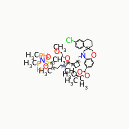 COCCO[C@@H](/C(C)=C/C[C@H](C)[C@@H](C)S(=O)(=O)N(PC)PC)[C@@H]1CC[C@H]1CN1C[C@@]2(CCCc3cc(Cl)ccc32)COc2ccc(C(=O)OC(C)(C)C)cc21